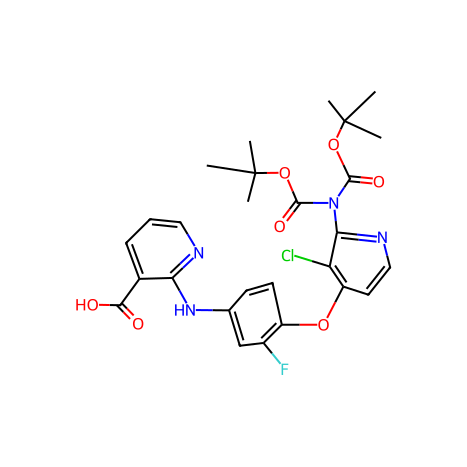 CC(C)(C)OC(=O)N(C(=O)OC(C)(C)C)c1nccc(Oc2ccc(Nc3ncccc3C(=O)O)cc2F)c1Cl